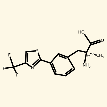 C[C@](N)(Cc1cccc(-c2nc(C(F)(F)F)cs2)c1)C(=O)O